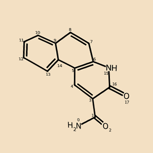 NC(=O)c1cc2c(ccc3ccccc32)[nH]c1=O